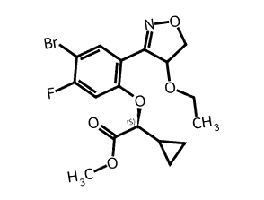 CCOC1CON=C1c1cc(Br)c(F)cc1O[C@H](C(=O)OC)C1CC1